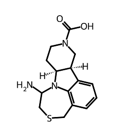 NC1CSCc2cccc3c2N1[C@H]1CCN(C(=O)O)C[C@@H]31